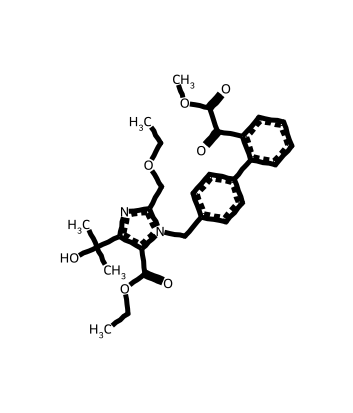 CCOCc1nc(C(C)(C)O)c(C(=O)OCC)n1Cc1ccc(-c2ccccc2C(=O)C(=O)OC)cc1